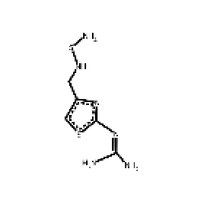 NSNCc1csc(N=C(N)N)n1